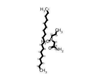 CCCCCCCCCCCCCCCCCC.CCCN(C)CC(N)=O